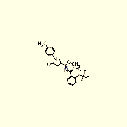 C=C(/N=C(\OC)C1CC(=O)N(c2ccc(C)cc2)C1)c1ccccc1CC(F)(F)F